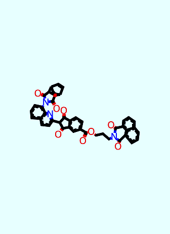 O=C(OCCCN1C(=O)c2cccc3cccc(c23)C1=O)c1ccc2c(c1)C(=O)C(c1ccc3cccc(N4C(=O)C5C6C=CC(CC6)C5C4=O)c3n1)C2=O